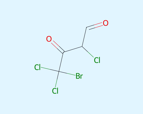 O=CC(Cl)C(=O)C(Cl)(Cl)Br